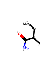 CSCC(C)C(N)=O